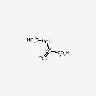 [13CH2]=[13C]([13CH2][13C](=O)O)[13C](=O)O